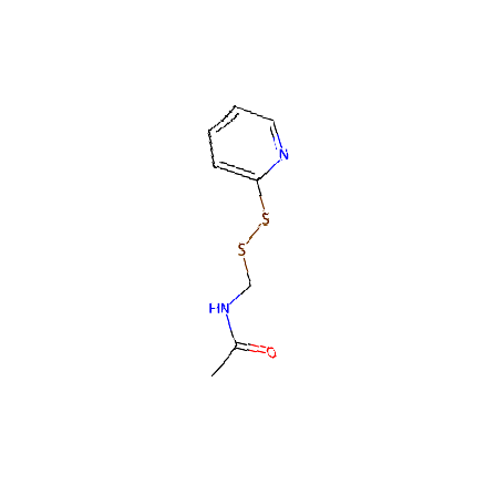 CC(=O)NCSSc1ccccn1